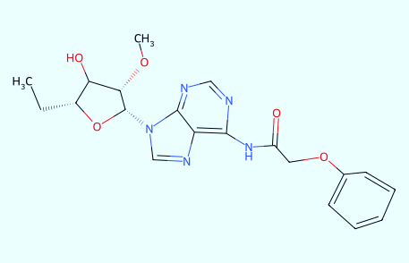 CC[C@H]1O[C@@H](n2cnc3c(NC(=O)COc4ccccc4)ncnc32)[C@@H](OC)C1O